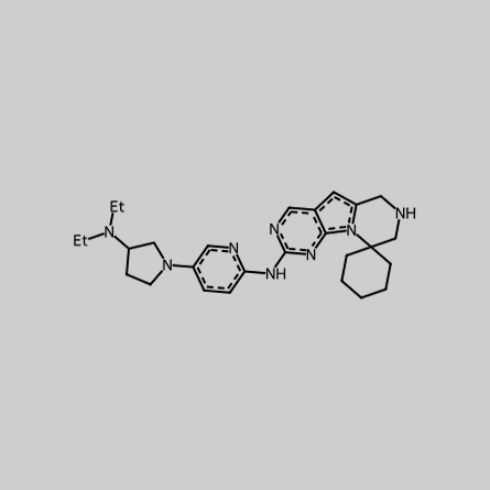 CCN(CC)C1CCN(c2ccc(Nc3ncc4cc5n(c4n3)C3(CCCCC3)CNC5)nc2)C1